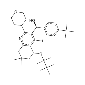 CC1(C)Cc2nc(C3CCOCC3)c([C@@H](O)c3ccc(C(C)(C)C)cc3)c(I)c2C(O[Si](C)(C)C(C)(C)C)C1